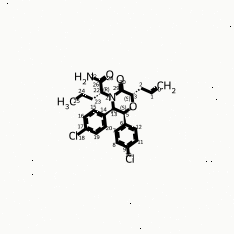 C=CC[C@@H]1O[C@@H](c2ccc(Cl)cc2)[C@@H](c2ccc(Cl)cc2)N([C@H](CCC)C(N)=O)C1=O